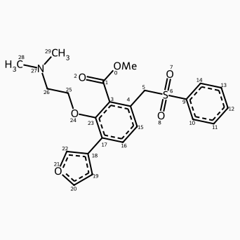 COC(=O)c1c(CS(=O)(=O)c2ccccc2)ccc(-c2ccoc2)c1OCCN(C)C